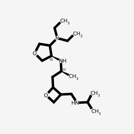 CCN(CC)C1COC[C@@H]1N[C@@H](C)CC1OCC1CNC(C)C